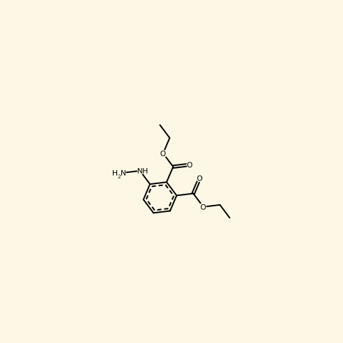 CCOC(=O)c1cccc(NN)c1C(=O)OCC